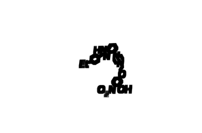 CCc1ccc(-c2nc3c(N4CCN(CCOc5ccc([N+](=O)[O-])c(O)c5)CC4)cccc3[nH]2)cc1